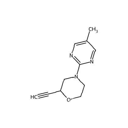 C#CC1CN(c2ncc(C)cn2)CCO1